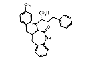 Cc1ccc(CC2Cc3ccccc3NC(=O)[C@@H]2N[C@@H](CCc2ccccc2)C(=O)O)cc1